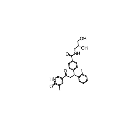 Cc1ccccc1C(CC(=O)c1c[nH]c(=O)c(C)c1)c1ccc(C(=O)NC[C@@H](O)CO)cc1